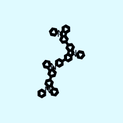 c1ccc(-n2c3ccccc3c3cc(-c4ccc5c(c4)c4ccccc4n5-c4ccc(-c5ccc6c(c5)c5cc(-c7ccc8c(c7)c7ccccc7n8-c7ccccc7)ccc5n6-c5ccccc5)cc4)ccc32)cc1